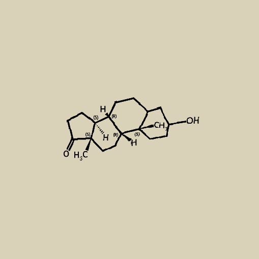 C[C@]12CCC(O)CC1CC[C@@H]1[C@H]2CC[C@]2(C)C(=O)CC[C@@H]12